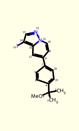 COC(C)(C)c1ccc(-c2ccn3ncc(I)c3c2)cc1